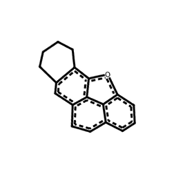 c1cc2ccc3cc4c(c5oc(c1)c2c35)CCCC4